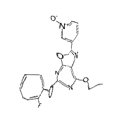 CCOc1nc(Oc2ccccc2F)nc2oc(-c3ccc[n+]([O-])c3)nc12